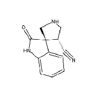 N#C[C@H]1CNC[C@@]12C(=O)Nc1ccccc12